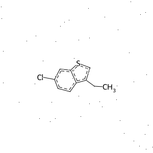 CCc1csc2cc(Cl)ccc12